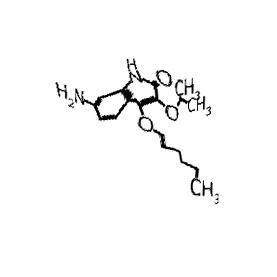 CCCCCCOc1c(OC(C)C)c(=O)[nH]c2cc(N)ccc12